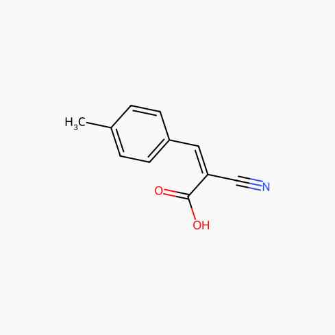 Cc1ccc(/C=C(/C#N)C(=O)O)cc1